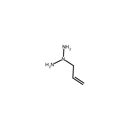 C=CCN(N)N